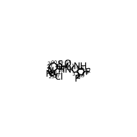 NCC(Cc1ccc(F)cc1F)NC(=O)c1cc2c(s1)CCCn1ncc(Cl)c1-2